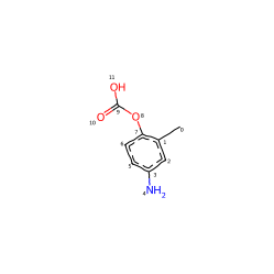 Cc1cc(N)ccc1OC(=O)O